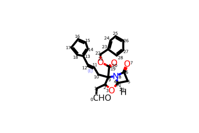 O=CCC1O[C@@H]2CC(=O)N2C1(C/C=C/c1ccccc1)C(=O)OCc1ccccc1